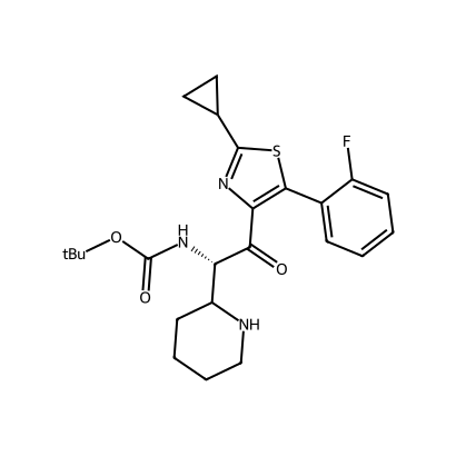 CC(C)(C)OC(=O)N[C@H](C(=O)c1nc(C2CC2)sc1-c1ccccc1F)C1CCCCN1